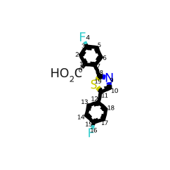 O=C(O)c1cc(F)ccc1-c1ncc(-c2ccc(F)cc2)s1